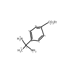 CCOC(=O)c1ccc(C(C)(N)N)cc1